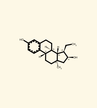 CC[C@@H]1[C@H]2[C@@H]3CCc4cc(O)ccc4[C@H]3CC[C@]2(C)C[C@@H]1O